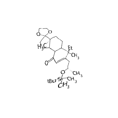 CC[C@@]1(C)C(C[C@H](C)O[Si](C)(C)C(C)(C)C)=CC(=O)C2C1CC[C@@]1(C)C2CCC12OCCO2